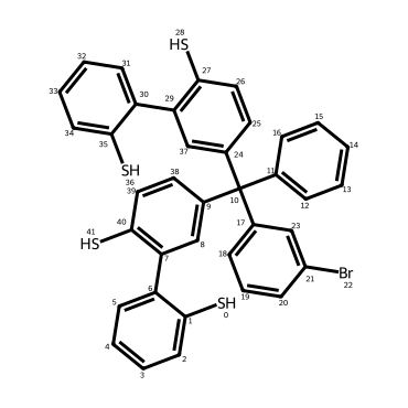 Sc1ccccc1-c1cc(C(c2ccccc2)(c2cccc(Br)c2)c2ccc(S)c(-c3ccccc3S)c2)ccc1S